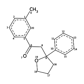 Cc1cccc(C(=O)CC2(c3ccccc3)CCCO2)c1